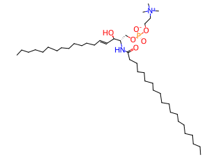 CCCCCCCCCCCCC/C=C/[C@@H](O)[C@H](COP(=O)([O-])OCC[N+](C)(C)C)NC(=O)CCCCCCCCCCCCCCCCCCC